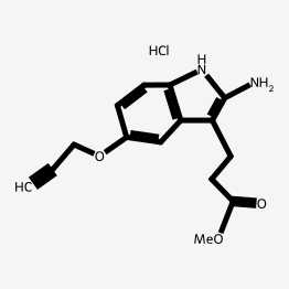 C#CCOc1ccc2[nH]c(N)c(CCC(=O)OC)c2c1.Cl